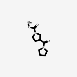 CC(C)(C)OC(=O)N1CCC(C(=O)N2CCCC2)C1